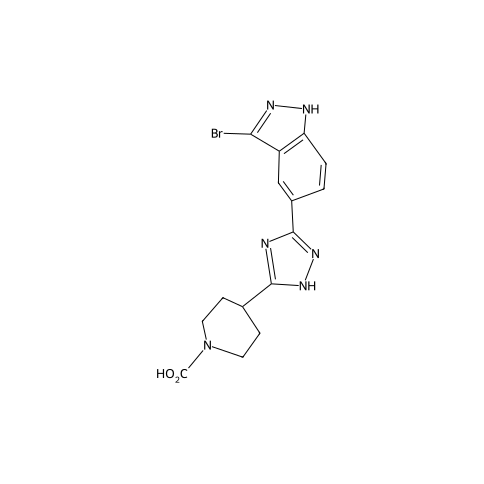 O=C(O)N1CCC(c2nc(-c3ccc4[nH]nc(Br)c4c3)n[nH]2)CC1